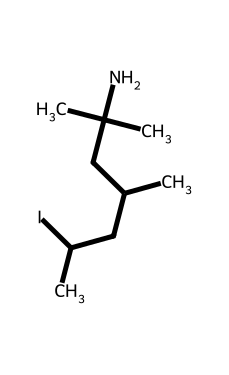 CC(I)CC(C)CC(C)(C)N